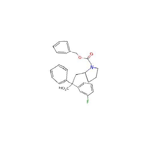 O=C(OCc1ccccc1)N1CCCC1CC(C(=O)O)(c1ccccc1)c1cccc(F)c1